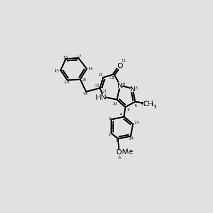 COc1ccc(-c2c(C)nn3c(=O)cc(Cc4ccccc4)[nH]c23)cc1